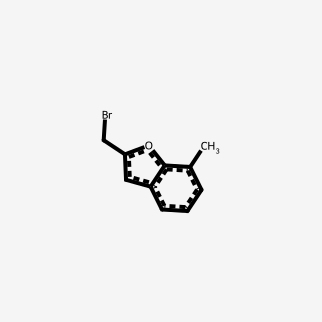 Cc1cccc2cc(CBr)oc12